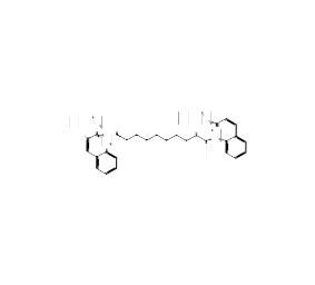 Nc1ccc2ccccc2[n+]1C(I)CCCCCCCCC(I)[n+]1c(N)ccc2ccccc21